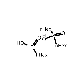 CCCCCCP(=O)(O)CCCCCC.CCCCCC[PH](=O)O